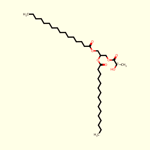 CCCCCCCCCCCCCCCC(=O)OCC(COC(=O)[C@H](C)O)OC(=O)CCCCCCCCCCCCCCC